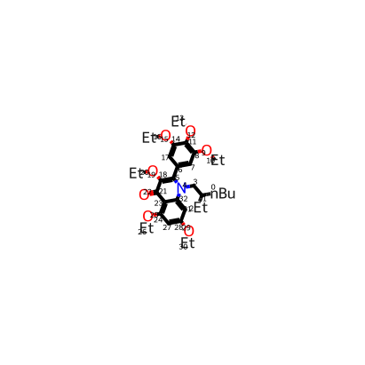 CCCCC(CC)Cn1c(-c2cc(OCC)c(OCC)c(OCC)c2)c(OCC)c(=O)c2c(OCC)cc(OCC)cc21